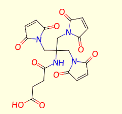 O=C(O)CCC(=O)NC(CN1C(=O)C=CC1=O)(CN1C(=O)C=CC1=O)CN1C(=O)C=CC1=O